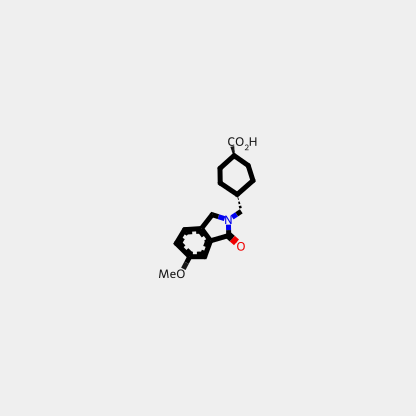 COc1ccc2c(c1)C(=O)N(C[C@H]1CC[C@H](C(=O)O)CC1)C2